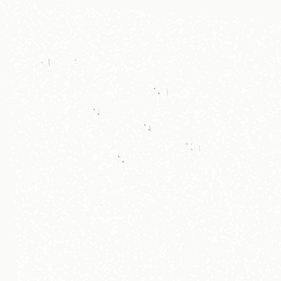 CC(=O)[n+]1c(-c2cccs2)c(Nc2c(C)cccc2C)n2c(N)cc(Cl)nc21.[Cl-]